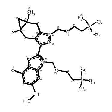 CNc1cc(Cl)c2nc(-c3nn(COCC[Si](C)(C)C)c4c3C[C@@H]3C[C@]3(C)C4)n(COCC[Si](C)(C)C)c2c1